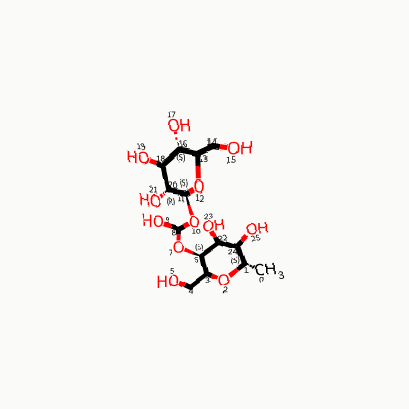 C[C@@H]1OC(CO)[C@@H](OC(O)O[C@@H]2OC(CO)[C@@H](O)C(O)[C@H]2O)C(O)C1O